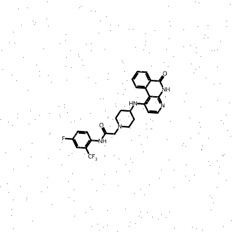 O=C(CN1CCC(Nc2ccnc3[nH]c(=O)c4ccccc4c23)CC1)Nc1ccc(F)cc1C(F)(F)F